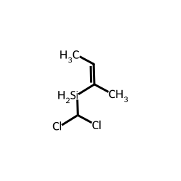 C/C=C(/C)[SiH2]C(Cl)Cl